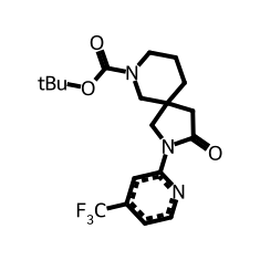 CC(C)(C)OC(=O)N1CCCC2(CC(=O)N(c3cc(C(F)(F)F)ccn3)C2)C1